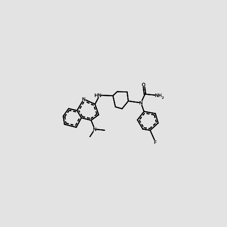 CN(C)c1cc(NC2CCC(N(C(N)=O)c3ccc(F)cc3)CC2)nc2ccccc12